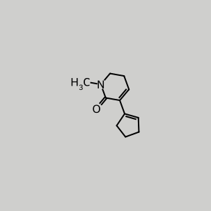 CN1CCC=C(C2=CCCC2)C1=O